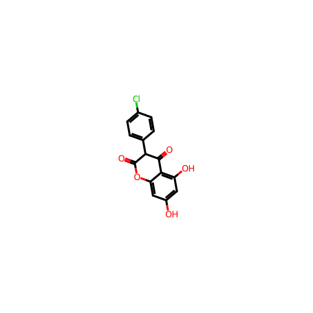 O=C1Oc2cc(O)cc(O)c2C(=O)C1c1ccc(Cl)cc1